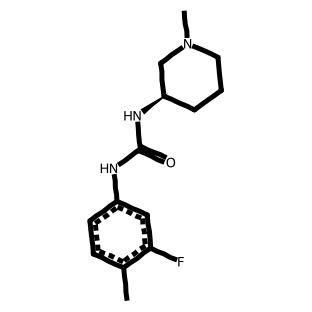 Cc1ccc(NC(=O)N[C@@H]2CCCN(C)C2)cc1F